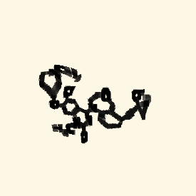 CN1CCC(Oc2cc3c(cc2Cl)c(N2CCOCc4c(C#CC5(C(F)(F)F)CC5)cccc42)nc(=O)n3C)C1